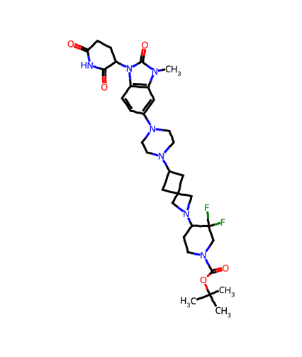 Cn1c(=O)n(C2CCC(=O)NC2=O)c2ccc(N3CCN(C4CC5(C4)CN(C4CCN(C(=O)OC(C)(C)C)CC4(F)F)C5)CC3)cc21